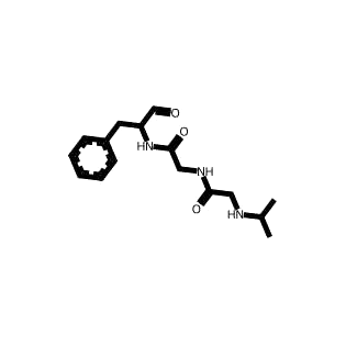 CC(C)NCC(=O)NCC(=O)NC(C=O)Cc1ccccc1